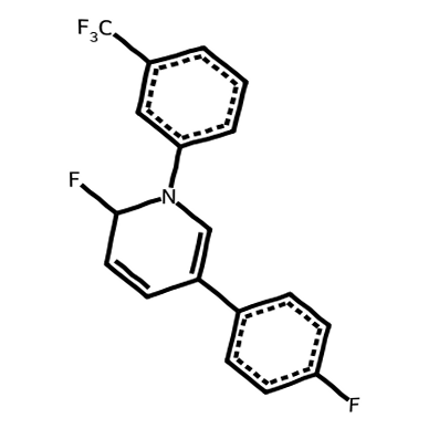 Fc1ccc(C2=CN(c3cccc(C(F)(F)F)c3)C(F)C=C2)cc1